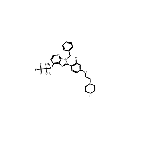 CC(C)(Oc1ncnc2c1nc(-c1ccc(OCCN3CCNCC3)cc1Cl)n2Cc1ccccc1)C(F)(F)F